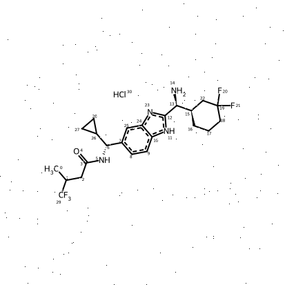 CC(CC(=O)N[C@@H](c1ccc2[nH]c([C@@H](N)[C@@H]3CCCC(F)(F)C3)nc2c1)C1CC1)C(F)(F)F.Cl